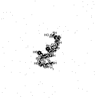 CC[C@H](C)[C@H](NC(=O)[C@@H](NC(=O)[C@H](CO)NC(=O)CNC(=O)[C@@H](N)CS)[C@@H](C)O)C(=O)N[C@@H](Cc1ccc(O)cc1)C(=O)N[C@@H](C)C(=O)N[C@@H](CO)C(=O)N[C@@H](Cc1ccc(O)cc1)C(=O)N[C@@H](CCC(=O)O)C(=O)N[C@@H](CO)C(=O)NCC(=O)N[C@@H](Cc1c[nH]cn1)C(=O)NCC(=O)N[C@@H](CS)C(=O)O